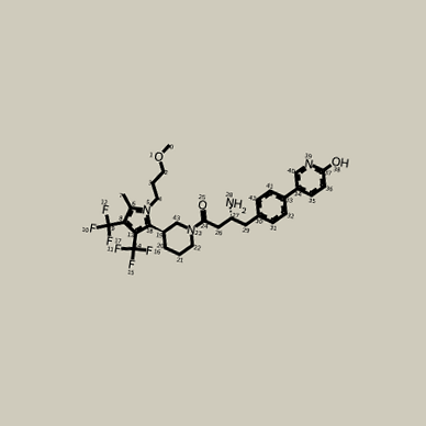 COCCCn1c(C)c(C(F)(F)F)c(C(F)(F)F)c1[C@@H]1CCCN(C(=O)C[C@H](N)Cc2ccc(-c3ccc(O)nc3)cc2)C1